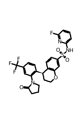 O=C1CCCN1c1cc(C(F)(F)F)ccc1[C@@H]1CCOc2cc(S(=O)(=O)Nc3cccc(F)n3)ccc21